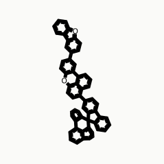 c1ccc2c(c1)-c1ccc(-c3ccc4c5c(cccc35)-c3cc(-c5ccc6oc7ccccc7c6c5)ccc3O4)cc1C21c2ccccc2-c2cccc3cccc1c23